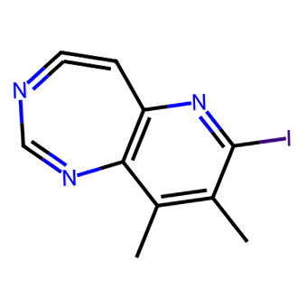 Cc1c(I)nc2c(c1C)N=CN=C=C2